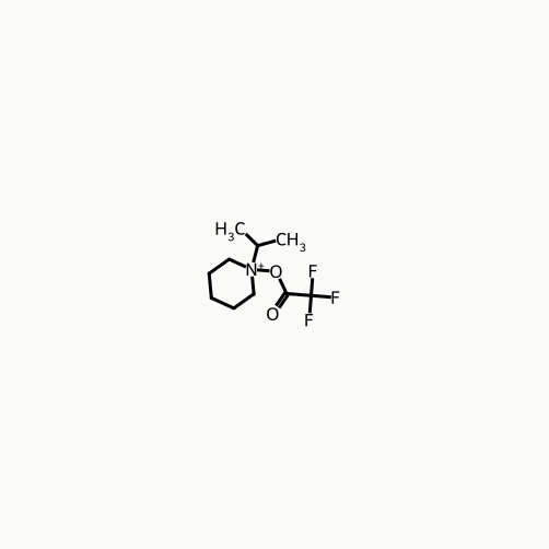 CC(C)[N+]1(OC(=O)C(F)(F)F)CCCCC1